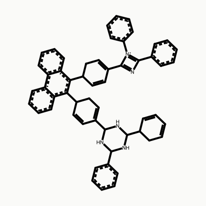 C1=CCC(C2NC(C3=CCC(c4c(C5C=CC(C6=NC(c7ccccc7)=[N+]6c6ccccc6)=CC5)c5ccccc5c5ccccc45)C=C3)NC(c3ccccc3)N2)C=C1